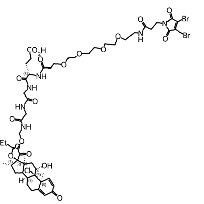 CCC(=O)O[C@]1(C(=O)COCNC(=O)CNC(=O)CNC(=O)[C@H](CCC(=O)O)NC(=O)CCOCCOCCOCCOCCNC(=O)CCN2C(=O)C(Br)=C(Br)C2=O)[C@@H](C)CC2[C@@H]3CCC4=CC(=O)C=C[C@]4(C)[C@@]3(Cl)[C@@H](O)C[C@@]21C